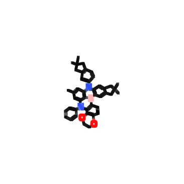 Cc1cc2c3c(c1)N(c1ccccc1)c1c(ccc4c1OCCO4)B3c1cc3c(cc1N2c1ccc2c(c1)CC(C)(C)C2)CC(C)(C)C3